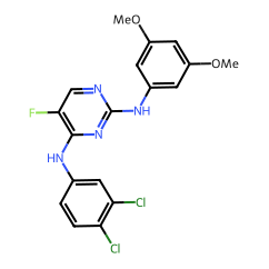 COc1cc(Nc2ncc(F)c(Nc3ccc(Cl)c(Cl)c3)n2)cc(OC)c1